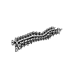 BrN(Br)C(Br)(Br)C(Br)(Br)C(Br)(Br)C(Br)(Br)C(Br)(Br)C(Br)(Br)C(Br)(Br)C(Br)(Br)C(Br)(Br)C(Br)(Br)C(Br)(Br)C(Br)(Br)C(Br)(Br)C(Br)(Br)C(Br)(Br)Br